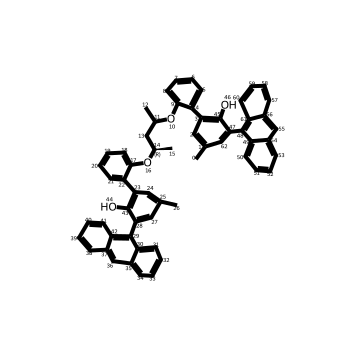 Cc1cc(-c2ccccc2OC(C)C[C@@H](C)Oc2ccccc2-c2cc(C)cc(-c3c4ccccc4cc4ccccc34)c2O)c(O)c(-c2c3ccccc3cc3ccccc23)c1